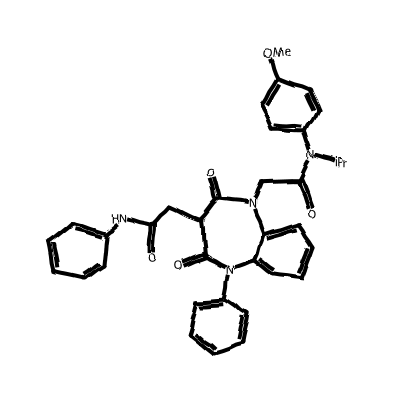 COc1ccc(N(C(=O)CN2C(=O)[C](CC(=O)Nc3ccccc3)C(=O)N(c3ccccc3)c3ccccc32)C(C)C)cc1